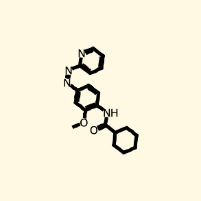 COc1cc(/N=N\c2ccccn2)ccc1NC(=O)C1CCCCC1